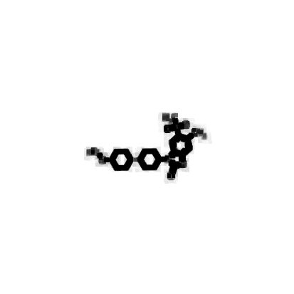 CCCO[C@H]1CC[C@H](C2CCC(n3c(=O)oc4cc(C)c(S(C)(=O)=O)cc43)CC2)CC1